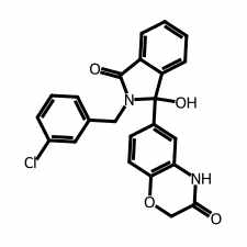 O=C1COc2ccc(C3(O)c4ccccc4C(=O)N3Cc3cccc(Cl)c3)cc2N1